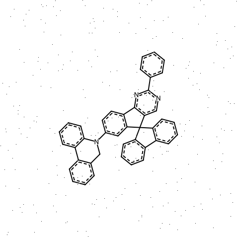 c1ccc(-c2ncc3c(n2)-c2ccc(N4Cc5ccccc5-c5ccccc54)cc2C32c3ccccc3-c3ccccc32)cc1